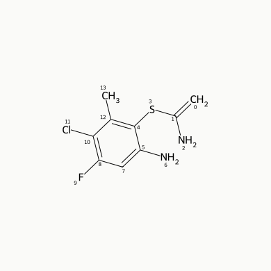 C=C(N)Sc1c(N)cc(F)c(Cl)c1C